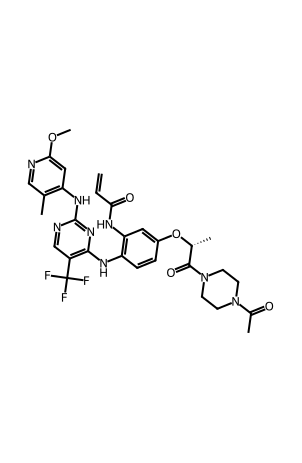 C=CC(=O)Nc1cc(O[C@H](C)C(=O)N2CCN(C(C)=O)CC2)ccc1Nc1nc(Nc2cc(OC)ncc2C)ncc1C(F)(F)F